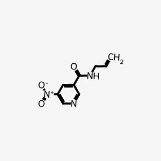 C=CCNC(=O)c1cncc([N+](=O)[O-])c1